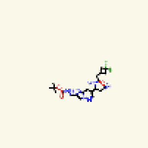 CC(C)(C)OC(=O)NCc1cn2ncc(C(CC#N)NC(=O)CC3CC(F)(F)C3)cc2n1